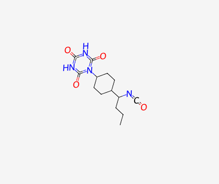 CCCC(N=C=O)C1CCC(n2c(=O)[nH]c(=O)[nH]c2=O)CC1